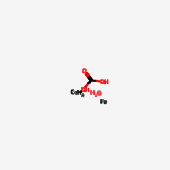 O.O=C(O)O.[CaH2].[Fe]